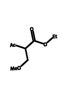 CCOC(=O)C(COC)C(C)=O